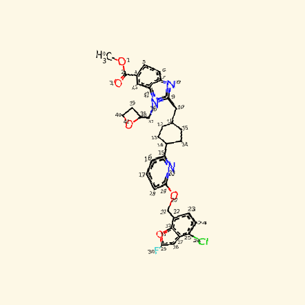 COC(=O)c1ccc2nc(CC3CCC(c4cccc(OCc5ccc(Cl)c6cc(F)oc56)n4)CC3)n(CC3CCO3)c2c1